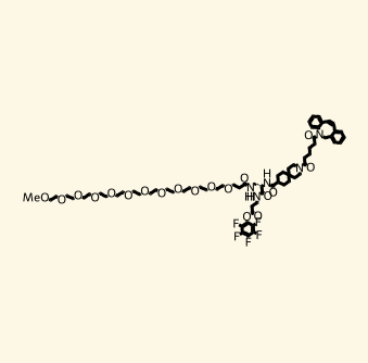 COCCOCCOCCOCCOCCOCCOCCOCCOCCOCCOCCOCCC(=O)NC[C@H](NC(=O)C1CCC2(CC1)CCN(C(=O)CCCCC(=O)N1Cc3ccccc3C#Cc3ccccc31)CC2)C(=O)NCCC(=O)Oc1c(F)c(F)c(F)c(F)c1F